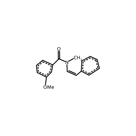 COc1cccc(C(=O)N(C)/C=C\c2ccccc2)c1